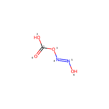 O=C(O)ON=NO